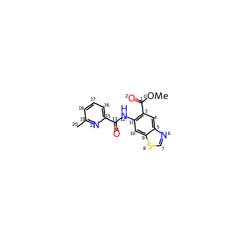 COC(=O)c1cc2ncsc2cc1NC(=O)c1cccc(C)n1